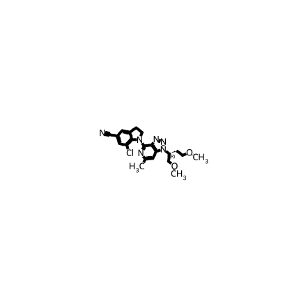 COCC[C@H](COC)n1nnc2c(N3CCc4cc(C#N)cc(Cl)c43)nc(C)cc21